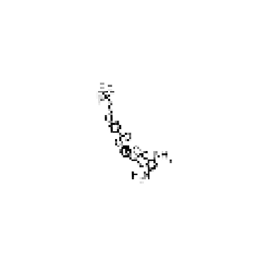 Nc1ccc(N)c(CC(=Cc2ccc(OC(=O)c3ccc(OCCCC(F)(F)C(F)(F)F)cc3)cc2)C(=O)O)c1